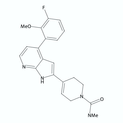 CNC(=O)N1CC=C(c2cc3c(-c4cccc(F)c4OC)ccnc3[nH]2)CC1